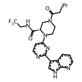 CC(C)CC(=O)N1CCN(c2ccnc(-c3c[nH]c4ncccc34)n2)[C@@H](C(=O)NCC(F)(F)F)C1